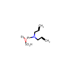 C=CCN(CC=C)C(C)C.CCOS(=O)(=O)O